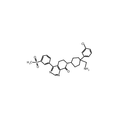 CS(=O)(=O)c1cccc(-c2ncnc3c2CCN(C2CCC(CN)(c4cccc(Cl)c4)CC2)C3=O)c1